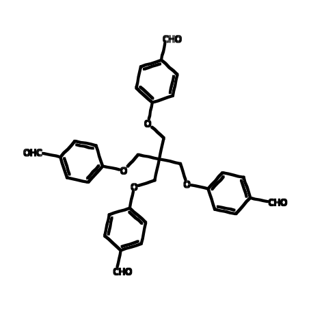 O=Cc1ccc(OCC(COc2ccc(C=O)cc2)(COc2ccc(C=O)cc2)COc2ccc(C=O)cc2)cc1